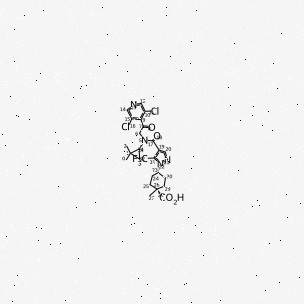 CC1(C)C[C@@H]1N(CC(=O)c1c(Cl)cncc1Cl)C(=O)c1cnn([C@H]2CC[C@](C)(C(=O)O)CC2)c1C(F)(F)F